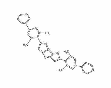 Cc1cc(-c2ccccc2)cc(C)c1-c1cc2sc3cc(-c4c(C)cc(-c5ccccc5)cc4C)sc3c2s1